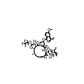 COc1ccc2c(O[C@@H]3C[C@H]4C(=O)N[C@]5(C(=O)NS(=O)(=O)C6(CF)CC6)C[C@H]5/C=C\CC[C@@H](C)C[C@@H](C)[C@H](NC(=O)OC(C)(C)C(F)(F)F)C(=O)N4C3)ncc(F)c2c1